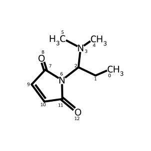 CCC(N(C)C)N1C(=O)C=CC1=O